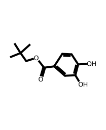 CC(C)(C)COC(=O)c1ccc(O)c(O)c1